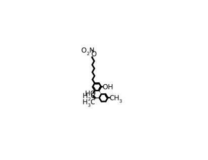 C=C(C)[C@@H]1CCC(C)=C[C@H]1c1c(O)cc(CCCCCCCO[N+](=O)[O-])cc1O